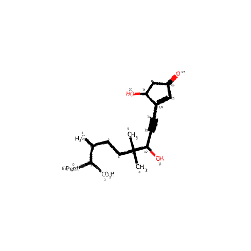 CCCCCC(C(=O)O)C(C)CCC(C)(C)C(O)C#CC1=CC(=O)CC1O